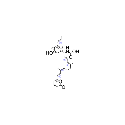 C/C=C/[C@@H]1O[C@H](C(/C=C/C=C(\C)CC(C)/C=C(C)\C=C\[C@H]2CC=CC(=O)O2)NC(=O)O)C[C@@H](O)[C@@H]1C